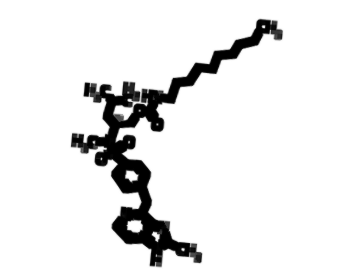 CCCCCCCCCCNC(=O)OC[C@H](CC(C)C)N(C)S(=O)(=O)c1ccc(Cc2nccc3[nH]c(C)nc23)cc1